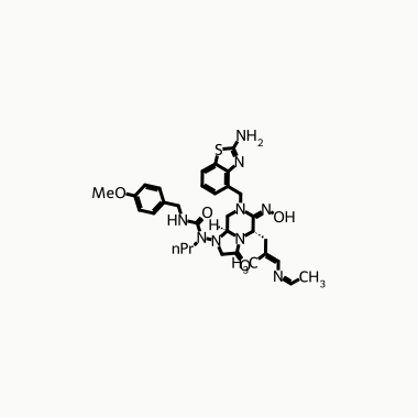 C/C=N\C=C(/C)C[C@H]1/C(=N\O)N(Cc2cccc3sc(N)nc23)C[C@H]2N1C(=O)CN2N(CCC)C(=O)NCc1ccc(OC)cc1